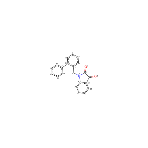 O=C1C(=O)N(Cc2ccccc2-c2ccccc2)c2ccccc21